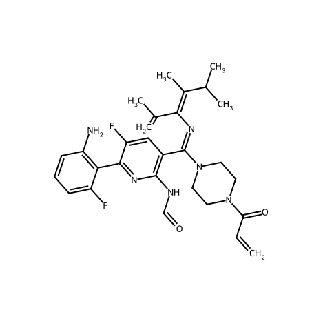 C=CC(=O)N1CCN(/C(=N/C(C(=C)C)=C(/C)C(C)C)c2cc(F)c(-c3c(N)cccc3F)nc2NC=O)CC1